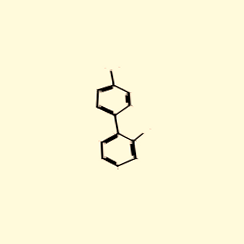 CC(C)(C)c1ccc(-c2ccccc2P)cc1